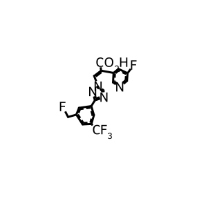 O=C(O)/C(=C/n1cnc(-c2cc(CF)cc(C(F)(F)F)c2)n1)c1cncc(F)c1